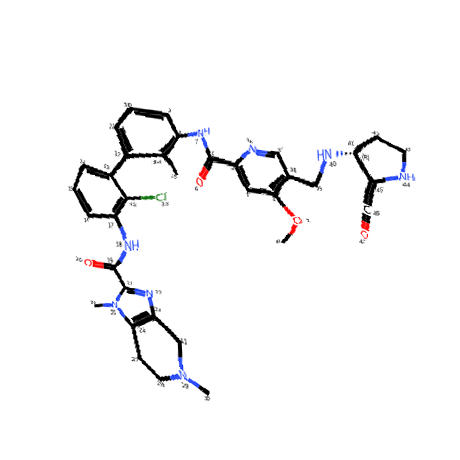 COc1cc(C(=O)Nc2cccc(-c3cccc(NC(=O)c4nc5c(n4C)CCN(C)C5)c3Cl)c2C)ncc1CN[C@@H]1CCNC1=C=O